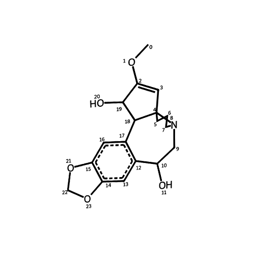 COC1=CC23CCCN2CC(O)c2cc4c(cc2C3C1O)OCO4